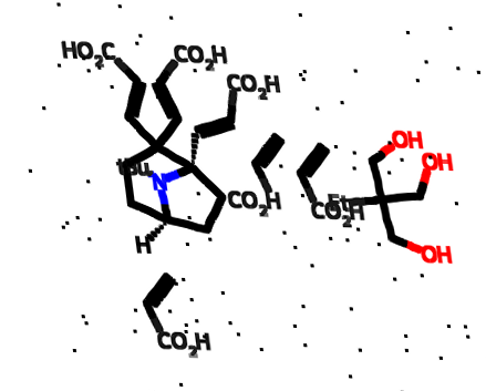 C=CC(=O)O.C=CC(=O)O.C=CC(=O)O.CC(C)(C)N1[C@@H]2CCC(C=CC(=O)O)(C=CC(=O)O)[C@@]1(C=CC(=O)O)CC2.CCC(CO)(CO)CO